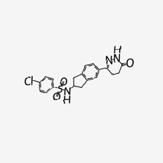 O=C1CCC(c2ccc3c(c2)CC(NS(=O)(=O)c2ccc(Cl)cc2)C3)=NN1